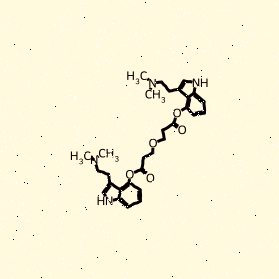 CN(C)CCc1c[nH]c2cccc(OC(=O)CCOCCC(=O)Oc3cccc4[nH]cc(CCN(C)C)c34)c12